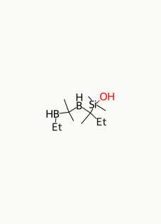 CCBC(C)(C)BC(C)(CC)[Si](C)(C)O